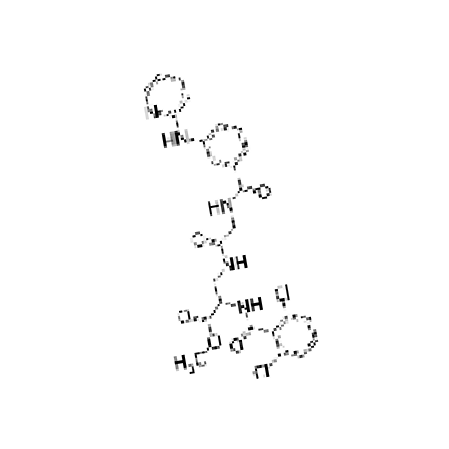 COC(=O)C(CNC(=O)CNC(=O)c1cccc(Nc2ccccn2)c1)NC(=O)c1c(Cl)cccc1Cl